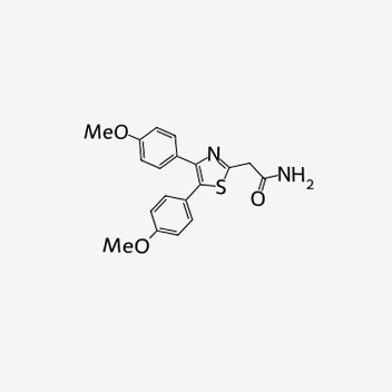 COc1ccc(-c2nc(CC(N)=O)sc2-c2ccc(OC)cc2)cc1